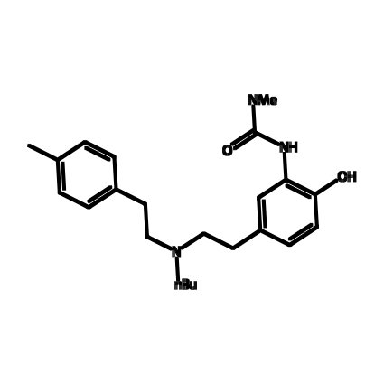 CCCCN(CCc1ccc(C)cc1)CCc1ccc(O)c(NC(=O)NC)c1